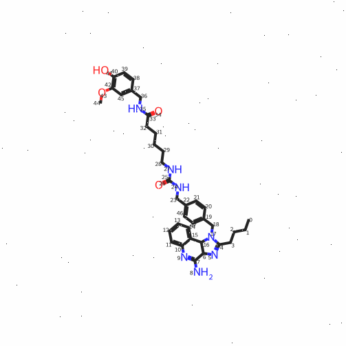 CCCCC1=NC2C(N)=Nc3ccccc3C2N1Cc1ccc(CNC(=O)NCCCCCC(=O)NCc2ccc(O)c(OC)c2)cc1